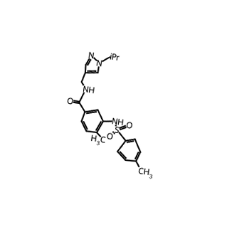 Cc1ccc(S(=O)(=O)Nc2cc(C(=O)NCc3cnn(C(C)C)c3)ccc2C)cc1